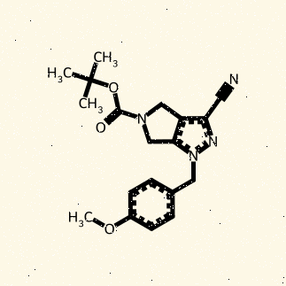 COc1ccc(Cn2nc(C#N)c3c2CN(C(=O)OC(C)(C)C)C3)cc1